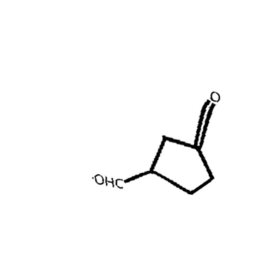 O=[C]C1CCC(=O)C1